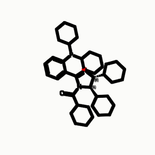 O=C(C1CCCCC1)N1C(c2ccccc2P(C2CCCCC2)C2CCCCC2)=N[C@H](C2CCCCC2)[C@H]1C1CCCCC1